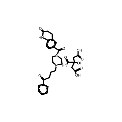 O=C(O)CC(O)(CC(=O)O)C(=O)O.O=C1CCc2cc(C(=O)N3CCN(CCCC(=O)c4ccccc4)CC3)ccc2N1